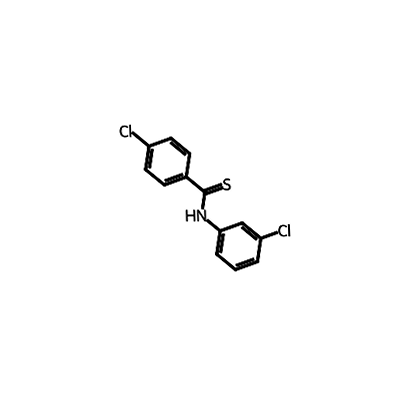 S=C(Nc1cccc(Cl)c1)c1ccc(Cl)cc1